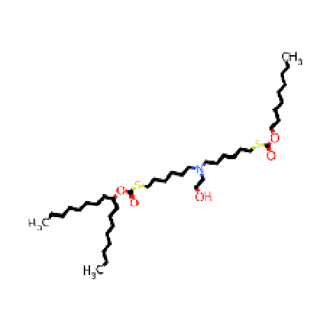 CCCCCCCCCOC(=O)SCCCCCCN(CCO)CCCCCCSC(=O)OC(CCCCCCCC)CCCCCCCC